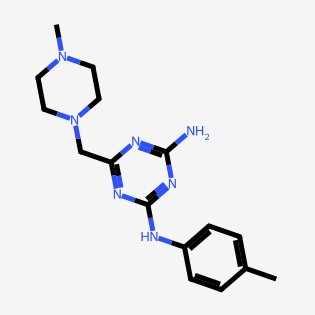 Cc1ccc(Nc2nc(N)nc(CN3CCN(C)CC3)n2)cc1